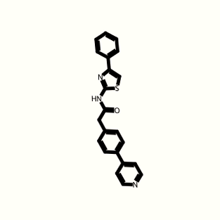 O=C(Cc1ccc(-c2ccncc2)cc1)Nc1nc(-c2ccccc2)cs1